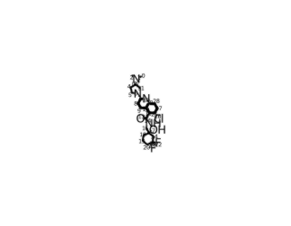 CN(C)[C@H]1CCN(c2ccc3c(C(=O)NCC4(O)CCCC(F)(F)C4)c(Cl)ccc3n2)C1